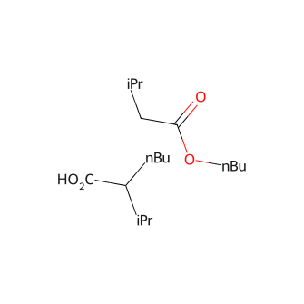 CCCCC(C(=O)O)C(C)C.CCCCOC(=O)CC(C)C